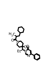 CC[C@H](n1cnc(-c2ccccc2)cc1=O)C1(O)CCN(C(=O)C(C)CC2CCCCC2)CC1